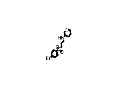 CCc1ccc(S(=O)(=O)CCCNC2CCCOC2)cc1